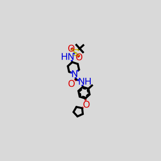 Cc1cc(OC2CCCC2)ccc1NC(=O)N1CCC(NS(=O)(=O)C(C)(C)C)CC1